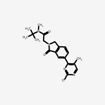 Cc1cnc(Cl)nc1-c1ccc2c(c1)C(=O)N(CC(=O)N(C)C(C)(C)C)C2